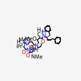 CC[C@H](C)[C@@H]([C@@H](CC(=O)N1CCC[C@H]1[C@H](OC)[C@@H](C)C(=O)N[C@H](/C=C\Cc1ccccc1)Cc1ccccc1)OC)N(C)[C@H](C(=O)NC(=O)[C@@H](NC)C(C)C)C(C)C